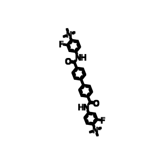 C[N+](C)(C)c1ccc(NC(=O)c2ccc(-c3ccc(C(=O)Nc4ccc([N+](C)(C)C)c(F)c4)cc3)cc2)cc1F